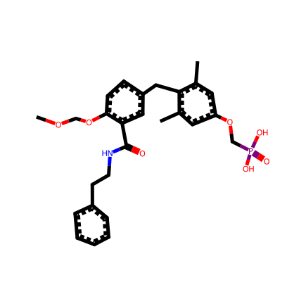 COCOc1ccc(Cc2c(C)cc(OCP(=O)(O)O)cc2C)cc1C(=O)NCCc1ccccc1